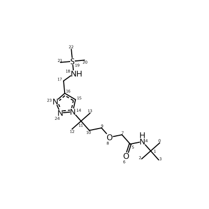 CC(C)(C)NC(=O)COCCC(C)(C)n1cc(CNS(C)(C)C)nn1